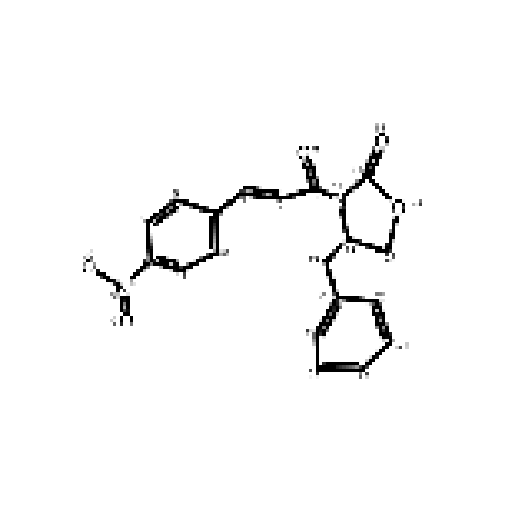 O=C(/C=C/c1ccc([N+](=O)[O-])cc1)N1C(=O)OC[C@H]1Cc1ccccc1